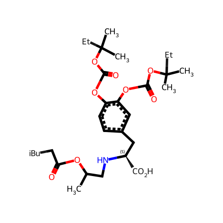 CCC(C)CC(=O)OC(C)CN[C@@H](Cc1ccc(OC(=O)OC(C)(C)CC)c(OC(=O)OC(C)(C)CC)c1)C(=O)O